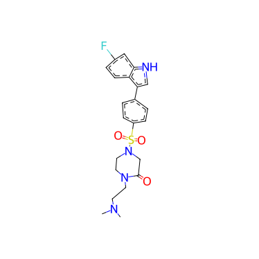 CN(C)CCN1CCN(S(=O)(=O)c2ccc(-c3c[nH]c4cc(F)ccc34)cc2)CC1=O